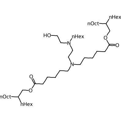 CCCCCCCCC(CCCCCC)COC(=O)CCCCCN(CCCCCC(=O)OCC(CCCCCC)CCCCCCCC)CCN(CCO)CCCCCC